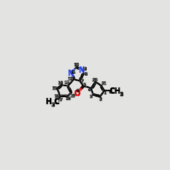 Cc1ccc(C(=O)c2cncnc2-c2ccc(C)cc2)cc1